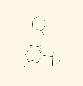 CCc1ccc(OC2CCOC2)c(C2(C(=O)O)CC2)c1